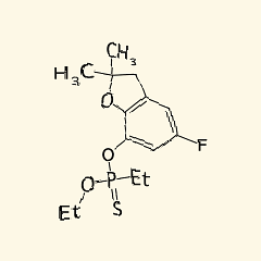 CCOP(=S)(CC)Oc1cc(F)cc2c1OC(C)(C)C2